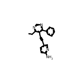 CCc1ncnc(-c2ccccc2)c1C#Cc1ccc(N)nc1